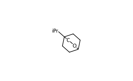 CC(C)C12CCC(CC1)OC2